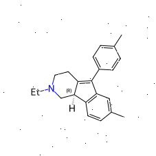 CCN1CCC2=C(c3ccc(C)cc3)c3cc(C)ccc3[C@H]2C1